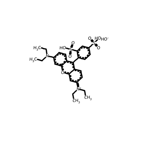 CCN(CC)c1ccc2c(-c3ccc(S(=O)(=O)O)cc3S(=O)(=O)O)c3ccc(=[N+](CC)CC)cc-3oc2c1.[OH-]